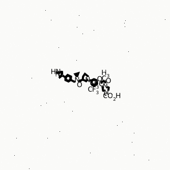 CC(C)(Oc1cc(N2CCCC(C(=O)N(Cc3ccc(-c4cn[nH]c4)cc3)C3CC3)C2)cc(C(F)(F)F)c1)C(=O)N1CCN(C(=O)O)CC1